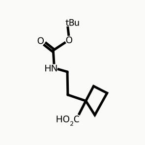 CC(C)(C)OC(=O)NCCC1(C(=O)O)CCC1